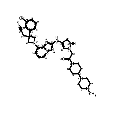 CN1CCN(C2CCN(C(=O)CN3C=C(Nc4nc5c(N6CC(CC#N)(c7cccc(Cl)c7)C6)cccn5n4)CN3)CC2)CC1